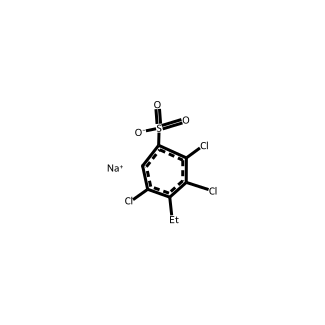 CCc1c(Cl)cc(S(=O)(=O)[O-])c(Cl)c1Cl.[Na+]